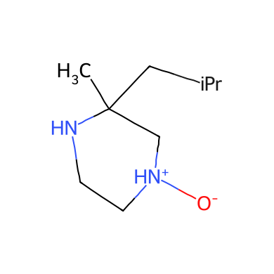 CC(C)CC1(C)C[NH+]([O-])CCN1